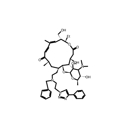 CC[C@H]1OC(=O)C[C@@H](O)[C@H](C)[C@@H](O[C@@H]2O[C@H](C)[C@@H](O)C(N(C)C)C2O)[C@@H](CCN(CCn2cc(-c3ccccc3)nn2)Cc2ccccc2)C[C@@H](C)C(=O)/C=C/C(C)=C/[C@@H]1CO